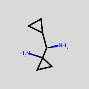 N[C@H](C1CC1)C1(N)CC1